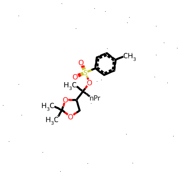 CCCC(C)(OS(=O)(=O)c1ccc(C)cc1)C1COC(C)(C)O1